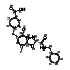 Cc1cc(Cc2ccc(C(=O)O)cc2)c(=O)n2nc(C(=O)NCc3ccccc3)oc12